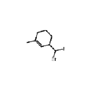 CCC(I)C1C=C(C)CCC1